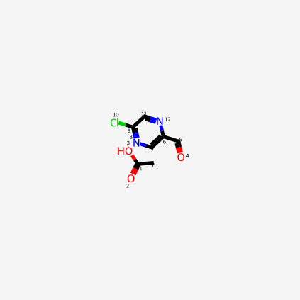 CC(=O)O.O=Cc1cnc(Cl)cn1